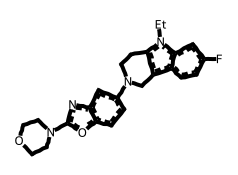 CCn1c2c(c3ccc(F)cc31)CN(c1ccc3oc(N4CCOCC4)nc3c1)CC2